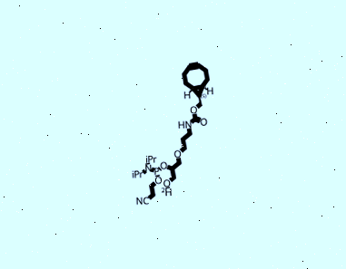 [2H]OCC(COCCCNC(=O)OC[C@@H]1[C@@H]2CCC#CCC[C@@H]21)OP(OCCC#N)N(C(C)C)C(C)C